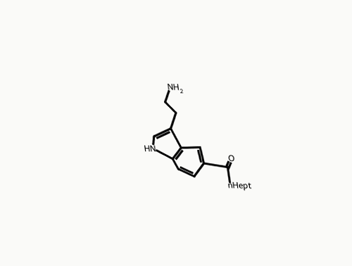 CCCCCCCC(=O)c1ccc2[nH]cc(CCN)c2c1